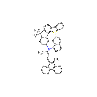 C=c1/c(=C\C=C(/C)N(c2ccc3c(c2)-c2c(ccc4c2sc2ccccc24)C3(C)C)c2cccc3ccccc23)c2ccccc2c2ccccc12